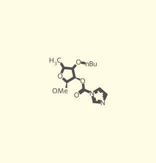 CCCCOC1C(C)O[C@H](OC)[C@@H]1OC(=O)n1ccnc1